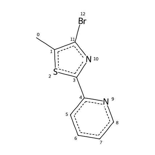 Cc1sc(-c2ccccn2)nc1Br